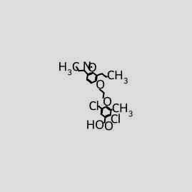 CCCc1c(OCCCOc2c(Cl)cc(C(=O)O)c(Cl)c2C)ccc2c(CC)noc12